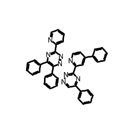 c1ccc(-c2ccnc(-c3nncc(-c4ccccc4)n3)c2)cc1.c1ccc(-c2nnc(-c3ccccn3)nc2-c2ccccc2)cc1